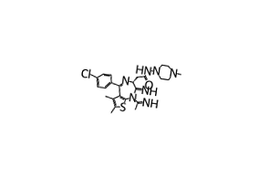 CC(=N)N1C(=N)[C@H](CC(=O)NN2CCN(C)CC2)N=C(c2ccc(Cl)cc2)c2c1sc(C)c2C